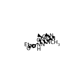 CC[S+]([O-])N1CC[C@H](CNc2nc3cnc(-c4c(C)ncnc4C4CC4)nc3n([C@@H](C)C3CC3)c2=O)C1